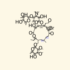 Br.CC[C@H]1OC(=O)C[C@@H](O)[C@H](C)[C@@H](O[C@@H]2O[C@H](C)[C@@H](O[C@H]3C[C@@](C)(O)[C@@H](O)[C@H](C)O3)[C@H](N(C)C)[C@H]2O)[C@@H](CC=O)C[C@@H](C)C(=O)/C=C/C(C)=C/C1CO[C@@H]1O[C@H](C)[C@@H](O)[C@@H](OC)[C@H]1OC